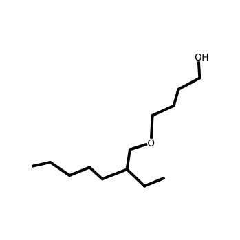 CCCCCC(CC)COCCCCO